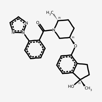 C[C@@H]1CC[C@@H](Oc2cccc3c2CC[C@]3(C)O)CN1C(=O)c1ccccc1-n1nccn1